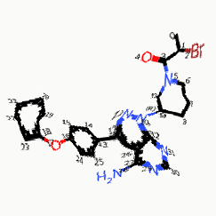 CC(Br)C(=O)N1CCC[C@@H](n2nc(-c3ccc(Oc4ccccc4)cc3)c3c(N)ncnc32)C1